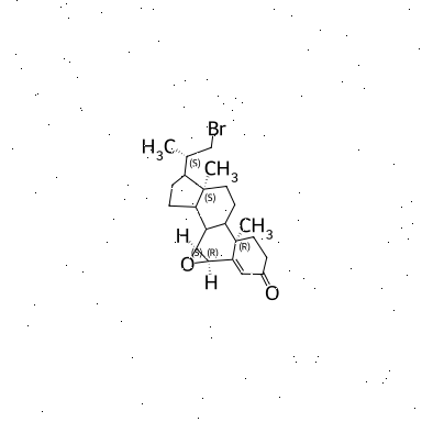 C[C@H](CBr)C1CCC2C3C(CC[C@@]21C)[C@@]1(C)CCC(=O)C=C1[C@H]1O[C@@H]31